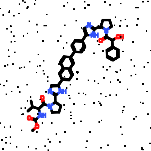 COC(=O)NC(C(=O)N1CCCC1c1ncc(-c2ccc3cc(-c4ccc(-c5cnc(C6CCCN6C(=O)C(O)c6ccccc6)[nH]5)cc4)ccc3c2)[nH]1)C(C)C